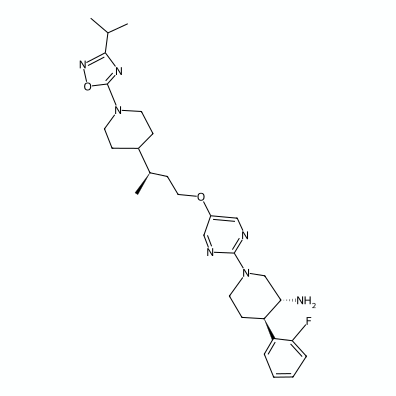 CC(C)c1noc(N2CCC([C@H](C)CCOc3cnc(N4CC[C@H](c5ccccc5F)[C@@H](N)C4)nc3)CC2)n1